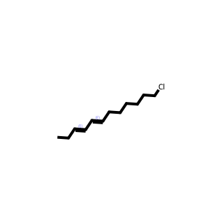 CC/C=C/C=C/CCCCCCCl